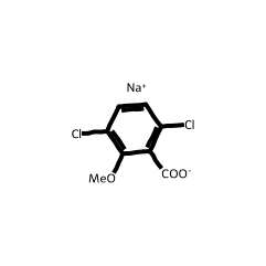 COc1c(Cl)ccc(Cl)c1C(=O)[O-].[Na+]